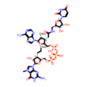 COCC[C@H]1[C@@H](O)[C@H](n2c[n+](C)c3c(=O)[nH]c(N)nc32)O[C@@H]1COP(=O)([O-])OP(=O)(O)OP(=O)(O)OCC1O[C@@H](n2cnc3c(N)ncnc32)[C@H](OC)[C@@H]1CC(=O)NC[C@H]1O[C@@H](n2ccc(=O)[nH]c2=O)[C@H](O)[C@@H]1O